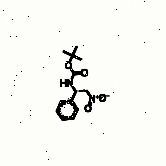 CC(C)(C)OC(=O)N[C@H](C[N+](=O)[O-])c1ccccc1